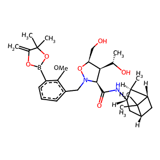 C=C1OB(c2cccc(CN3O[C@@H](CO)[C@@H]([C@H](C)O)[C@H]3C(=O)N[C@H]3C[C@H]4C[C@@H]([C@@H]3C)C4(C)C)c2OC)OC1(C)C